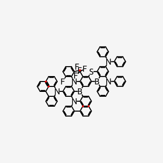 Fc1cccc(F)c1N1c2cc(N(c3ccccc3)c3ccccc3-c3ccccc3)cc3c2B(c2ccccc2N3c2ccccc2-c2ccccc2)c2cc3c(c(C(F)(F)F)c21)Sc1cc(N(c2ccccc2)c2ccccc2)cc2c1B3c1ccccc1N2c1ccccc1